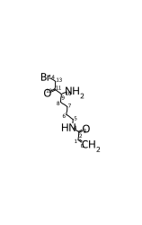 C=CC(=O)NCCCCC(N)C(=O)CBr